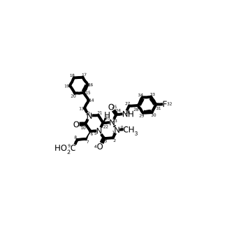 CN1CC(=O)N2[C@@H](CCC(=O)O)C(=O)N(CCC3=CCCCC3)C[C@@H]2N1C(=O)NCc1ccc(F)cc1